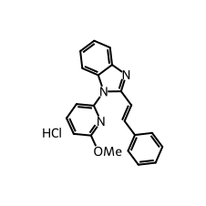 COc1cccc(-n2c(C=Cc3ccccc3)nc3ccccc32)n1.Cl